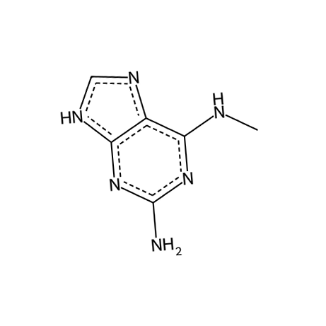 CNc1nc(N)nc2[nH]cnc12